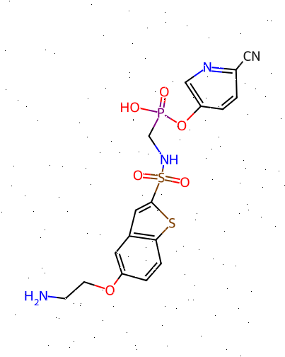 N#Cc1ccc(OP(=O)(O)CNS(=O)(=O)c2cc3cc(OCCN)ccc3s2)cn1